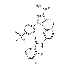 CS(=O)(=O)c1ccc(-n2nc(C(N)=O)c3c2-c2cc(NC(=O)c4cccc(F)c4F)ccc2CC3)cc1